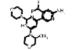 C[C@H]1COCCN1C1=CC(c2cnc(N)cc2C(F)F)=NC(N2CCOCC2)N1